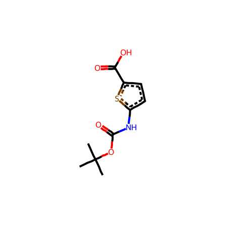 CC(C)(C)OC(=O)Nc1ccc(C(=O)O)s1